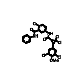 COc1c(Cl)cc(C2C(C(=O)Nc3ccc(Cl)c(C(=O)Nc4ccccc4)c3)C2(Cl)Cl)cc1Cl